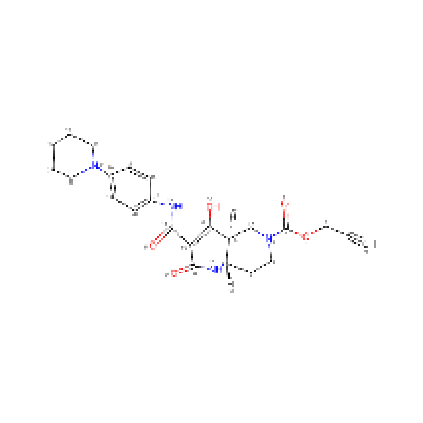 C#CCOC(=O)N1CC[C@@H]2NC(=O)C(C(=O)Nc3ccc(N4CCCCC4)cc3)=C(O)[C@H]2C1